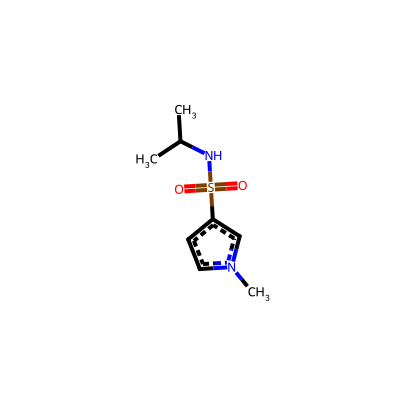 CC(C)NS(=O)(=O)c1ccn(C)c1